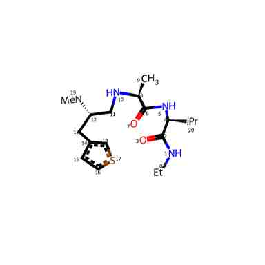 CCNC(=O)[C@@H](NC(=O)[C@H](C)NC[C@H](Cc1ccsc1)NC)C(C)C